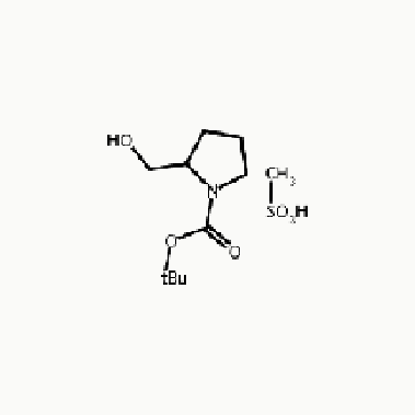 CC(C)(C)OC(=O)N1CCCC1CO.CS(=O)(=O)O